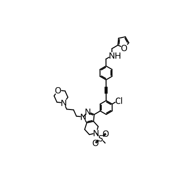 CS(=O)(=O)N1CCc2c(c(-c3ccc(Cl)c(C#Cc4ccc(CNCc5ccco5)cc4)c3)nn2CCCN2CCOCC2)C1